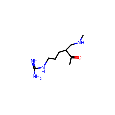 CNCC(CCCNC(=N)N)C(C)=O